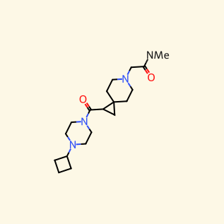 CNC(=O)CN1CCC2(CC1)CC2C(=O)N1CCN(C2CCC2)CC1